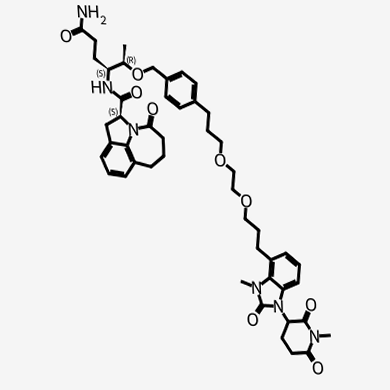 C[C@@H](OCc1ccc(CCCOCCOCCCc2cccc3c2n(C)c(=O)n3C2CCC(=O)N(C)C2=O)cc1)[C@H](CCC(N)=O)NC(=O)[C@@H]1Cc2cccc3c2N1C(=O)CCC3